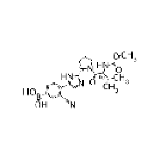 COC(=O)N[C@H](C(=O)N1CCC[C@H]1c1ncc(-c2ccc(B(O)O)cc2C#N)[nH]1)C(C)C